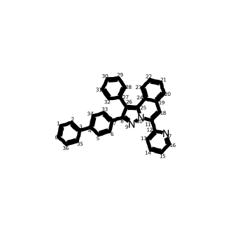 c1ccc(-c2ccc(-c3nn4c(-c5ccccn5)cc5ccccc5c4c3-c3ccccc3)cc2)cc1